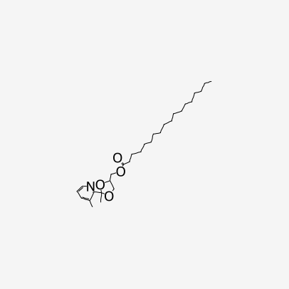 CCCCCCCCCCCCCCCCCC(=O)OCC1COC(C)(c2ncccc2C)O1